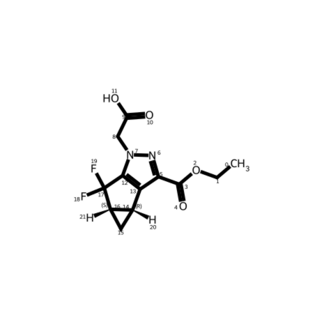 CCOC(=O)c1nn(CC(=O)O)c2c1[C@@H]1C[C@@H]1C2(F)F